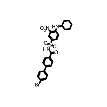 O=C(NS(=O)(=O)c1ccc(NC2CCCCC2)c([N+](=O)[O-])c1)c1ccc(-c2ccc(Br)cc2)cc1